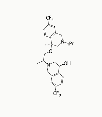 CC(C)N1Cc2cc(C(F)(F)F)ccc2[C@](C)(OCC(C)N2Cc3cc(C(F)(F)F)ccc3[C@H](O)C2)C1